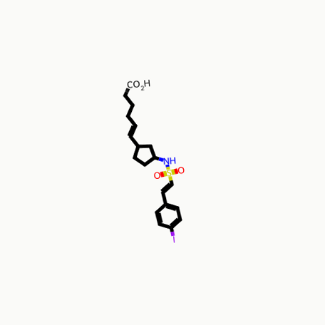 O=C(O)CCCC=CC1CCC(NS(=O)(=O)C=Cc2ccc(I)cc2)C1